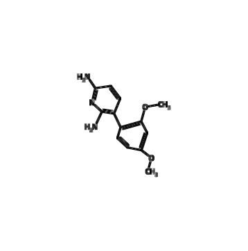 COc1ccc(-c2ccc(N)nc2N)c(OC)c1